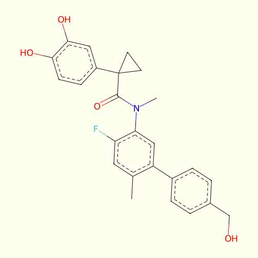 Cc1cc(F)c(N(C)C(=O)C2(c3ccc(O)c(O)c3)CC2)cc1-c1ccc(CO)cc1